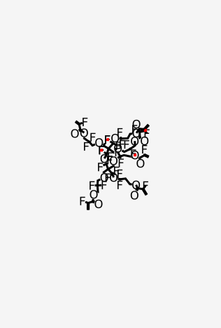 C=C(F)C(=O)OCCC(F)(F)OCC(COCC(F)(F)COC(=O)C(=C)F)(C(F)(F)OC(F)(F)CCOC(=O)C(=C)F)C(F)(F)OC(F)(F)C(COCC(F)(F)COC(=O)C(=C)F)(C(F)(F)OCC(F)(F)COC(=O)C(=C)F)C(F)(F)OC(F)(F)CCOC(=O)C(=C)F